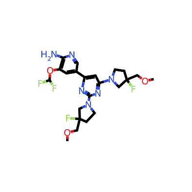 COCC1(F)CCN(c2cc(-c3cnc(N)c(OC(F)F)c3)nc(N3CCC(F)(COC)C3)n2)C1